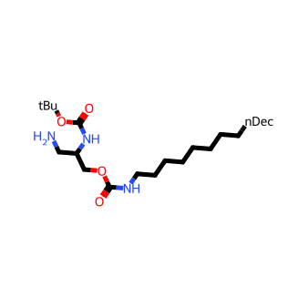 CCCCCCCCCCCCCCCCCCNC(=O)OCC(CN)NC(=O)OC(C)(C)C